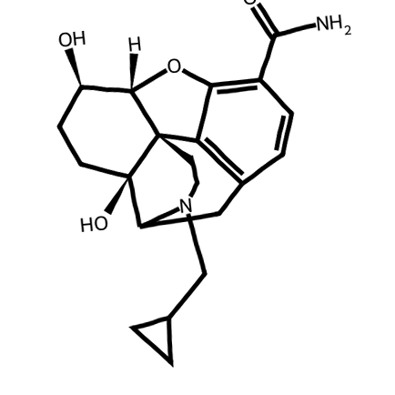 NC(=O)c1ccc2c3c1O[C@H]1[C@H](O)CC[C@@]4(O)C(C2)N(CC2CC2)CC[C@]314